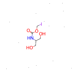 O=C(NC(CO)CO)OCI